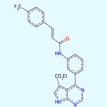 CCOC(=O)c1c[nH]c2ncnc(-c3cccc(NC(=O)C=Cc4ccc(C(F)(F)F)cc4)c3)c12